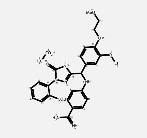 CC(=O)O.CCOc1cc(C(Nc2ccc(C(=N)N)cc2)c2nn(-c3ccccc3C(=O)O)c(=O)[nH]2)ccc1OCCOC